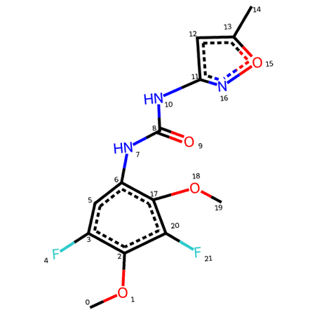 COc1c(F)cc(NC(=O)Nc2cc(C)on2)c(OC)c1F